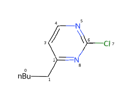 CCCCCc1ccnc(Cl)n1